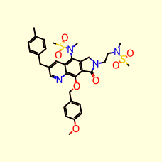 COc1ccc(COc2c3c(c(N(C)S(C)(=O)=O)c4cc(Cc5ccc(C)cc5)cnc24)CN(CCN(C)S(C)(=O)=O)C3=O)cc1